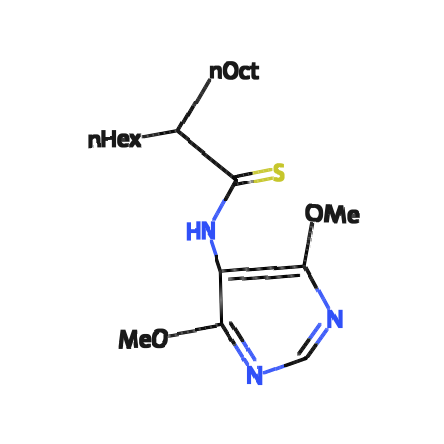 CCCCCCCCC(CCCCCC)C(=S)Nc1c(OC)ncnc1OC